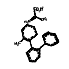 C=C(C)C(=O)O.Cc1ccccc1-c1ccccc1-c1ccccc1